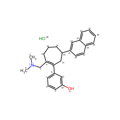 CN(C)CC1=C(c2cccc(O)c2)CC(c2ccc3ccccc3c2)CCC1.Cl